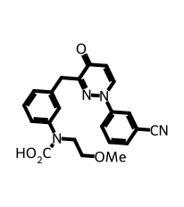 COCCN(C(=O)O)c1cccc(Cc2nn(-c3cccc(C#N)c3)ccc2=O)c1